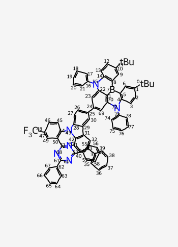 CC(C)(C)c1ccc2c(c1)B1c3cc(C(C)(C)C)ccc3N(c3ccccc3)c3cc(-c4ccc5c(c4)c4cc(-c6ccccc6)ccc4n5-c4ccc(C(F)(F)F)cc4-c4nc(-c5ccccc5)nc(-c5ccccc5)n4)cc(c31)N2c1ccccc1